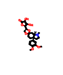 COc1ccc([C@]23CCN(C)[C@H]2CC2(CC3)OC[C@@H]([C@H]3OC(=O)C(O)=C3O)O2)cc1OC